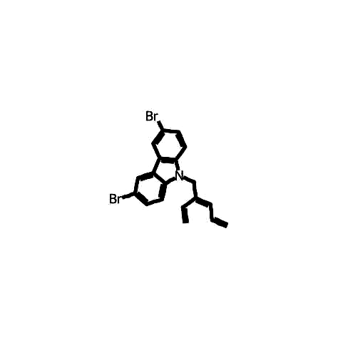 C=C/C=C(\C=C)Cn1c2ccc(Br)cc2c2cc(Br)ccc21